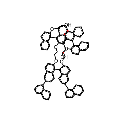 OCCOc1ccc2ccccc2c1-c1c(OCCOc2ccc3cc(-c4cccc5ccccc45)ccc3c2-c2c(OCCOc3ccc4ccccc4c3-c3c(OCCO)ccc4ccccc34)ccc3cc(-c4cccc5ccccc45)ccc23)ccc2ccccc12